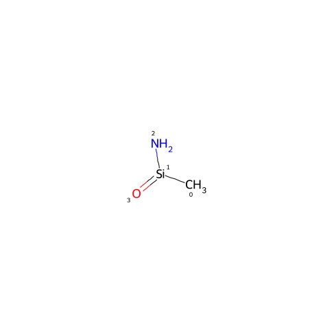 C[Si](N)=O